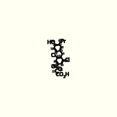 CC(C)c1cc(Cc2c(Cl)cc(S(=O)(=O)CC(=O)O)cc2Cl)ccc1O